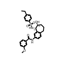 CCc1ccc(S(=O)(=O)N[C@H]2c3cc(NC(=O)c4cccc(OC)c4)ccc3CCC[C@@H]2O)cc1